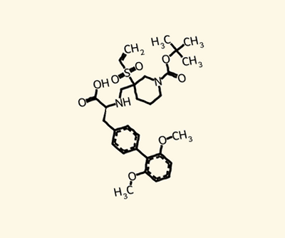 C=CS(=O)(=O)C1(CN[C@@H](Cc2ccc(-c3c(OC)cccc3OC)cc2)C(=O)O)CCCN(C(=O)OC(C)(C)C)C1